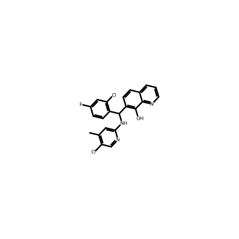 Cc1cc(NC(c2ccc(F)cc2Cl)c2ccc3cccnc3c2O)ncc1Cl